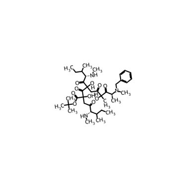 CCC(C)[C@H](NC)C(=O)CC(O)(C(=O)OC(C)(C)C)C(=O)C(O)(CC(=O)C(C)(O)C(=O)[C@H](C)N(C)Cc1ccccc1)C(=O)[C@@H](NC)C(C)CC